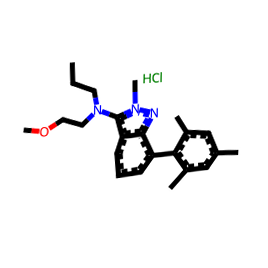 CCCN(CCOC)c1c2cccc(-c3c(C)cc(C)cc3C)c2nn1C.Cl